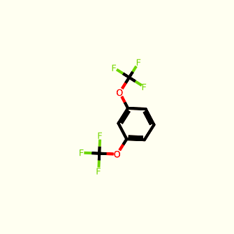 FC(F)(F)Oc1cccc(OC(F)(F)F)c1